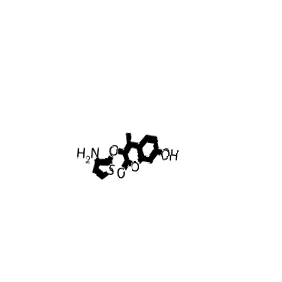 Cc1c(Oc2sccc2N)c(=O)oc2cc(O)ccc12